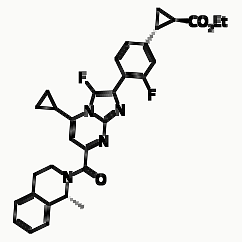 CCOC(=O)[C@@H]1C[C@H]1c1ccc(-c2nc3nc(C(=O)N4CCc5ccccc5[C@H]4C)cc(C4CC4)n3c2F)c(F)c1